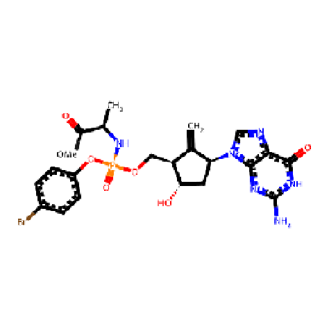 C=C1[C@H](CO[P@@](=O)(NC(C)C(=O)OC)Oc2ccc(Br)cc2)[C@@H](O)C[C@@H]1n1cnc2c(=O)[nH]c(N)nc21